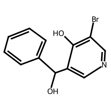 Oc1c(Br)cncc1C(O)c1ccccc1